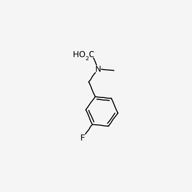 CN(Cc1cccc(F)c1)C(=O)O